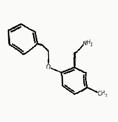 Cc1ccc(OCc2ccccc2)c(CN)c1